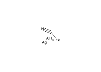 N#[C][Fe].[Ag].[AlH3]